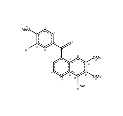 COc1ccc(C(=O)c2ccnc3c(OC)c(OC)c(OC)cc23)cc1F